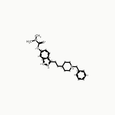 CN(C)C(=S)Oc1ccc2c(CCC3CCN(Cc4ccccc4)CC3)noc2c1